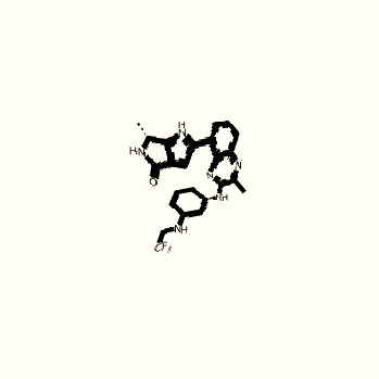 Cc1nc2cccc(-c3cc4c([nH]3)[C@@H](C)NC4=O)c2nc1N[C@@H]1CCCC(NCC(F)(F)F)C1